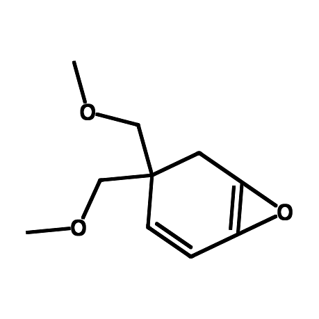 COCC1(COC)C=CC2=C(C1)O2